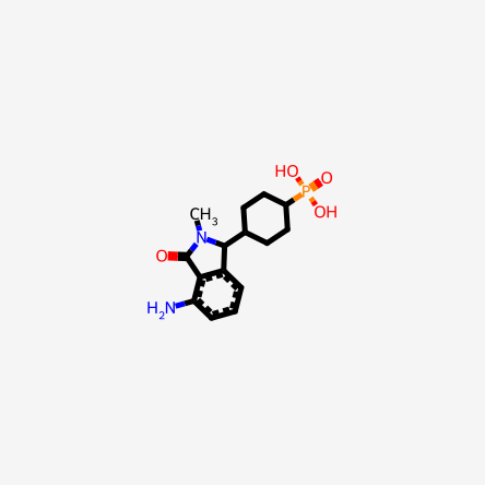 CN1C(=O)c2c(N)cccc2C1C1CCC(P(=O)(O)O)CC1